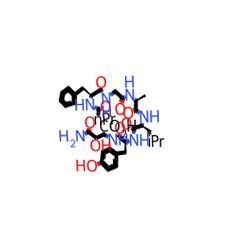 CCCC(=O)N[C@@H](Cc1ccccc1)C(=O)NCC(=O)N[C@@H](C)C(=O)N[C@@H](CC(C)C)C(=O)N[C@@H](Cc1ccc(O)cc1)C(=O)N[C@H](C(=O)O)C(O)C(N)=O